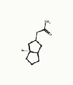 NC(=O)CC1CC2CCC[C@H]2C1